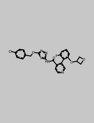 O=C(Nc1nnc(OCc2ccc(Cl)cc2)s1)c1ccncc1-c1c(F)cccc1OC1COC1